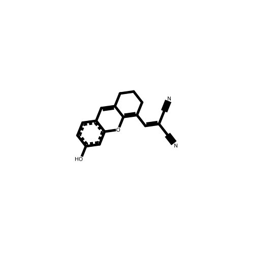 N#CC(C#N)=CC1=C2Oc3cc(O)ccc3C=C2CCC1